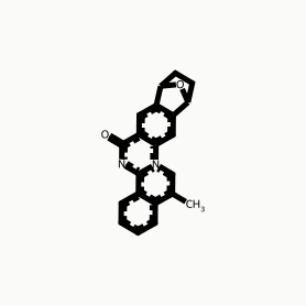 Cc1cn2c3cc4c(cc3c(=O)nc2c2ccccc12)C1CCC4O1